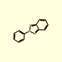 [c]1ccccc1-n1nc2ccccc2n1